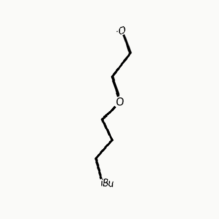 CCC(C)CCCOCC[O]